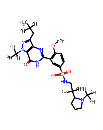 [2H]C([2H])(C)Cc1nn(C([2H])([2H])[2H])c2c(=O)[nH]c(-c3cc(S(=O)(=O)NCC([2H])([2H])C4CCCN4C([2H])([2H])[2H])ccc3OCCC)nc12